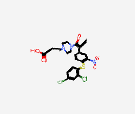 C=C(C(=O)N1CCN(CCC(=O)O)CC1)c1ccc(Sc2ccc(Cl)cc2Cl)c([N+](=O)[O-])c1